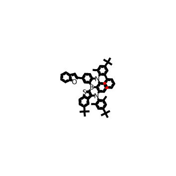 Cc1cc(C(C)(C)C)cc(C)c1N1c2cccc3c2B(c2cc(-c4cc5ccccc5o4)ccc2N3c2c(C)cc(C(C)(C)C)cc2-c2ccccc2)c2sc3ccc(C(C)(C)C)cc3c21